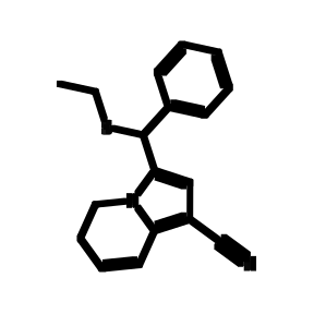 CCSC(c1ccccc1)c1cc(C#N)c2n1CCC=C2